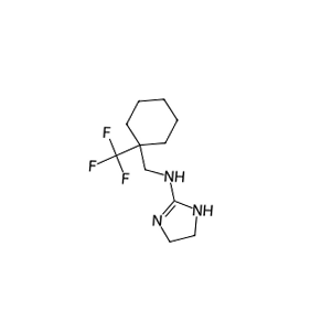 FC(F)(F)C1(CNC2=NCCN2)CCCCC1